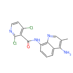 Cc1cnc2c(NC(=O)c3c(Cl)ccnc3Cl)cccc2c1N